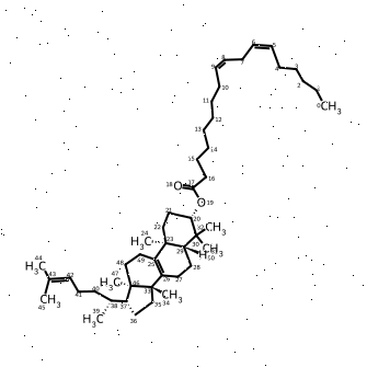 CCCCC/C=C\C/C=C\CCCCCCCC(=O)O[C@H]1CC[C@]2(C)C3=C(CC[C@H]2C1(C)C)[C@]1(C)CC[C@H]([C@H](C)CCC=C(C)C)[C@@]1(C)CC3